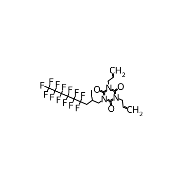 C=CCn1c(=O)n(CC=C)c(=O)n(CC(I)CC(F)(F)C(F)(F)C(F)(F)C(F)(F)C(F)(F)C(F)(F)F)c1=O